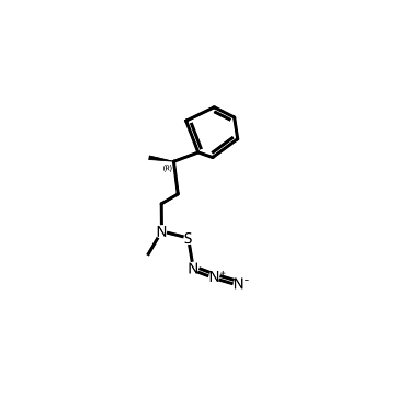 C[C@H](CCN(C)SN=[N+]=[N-])c1ccccc1